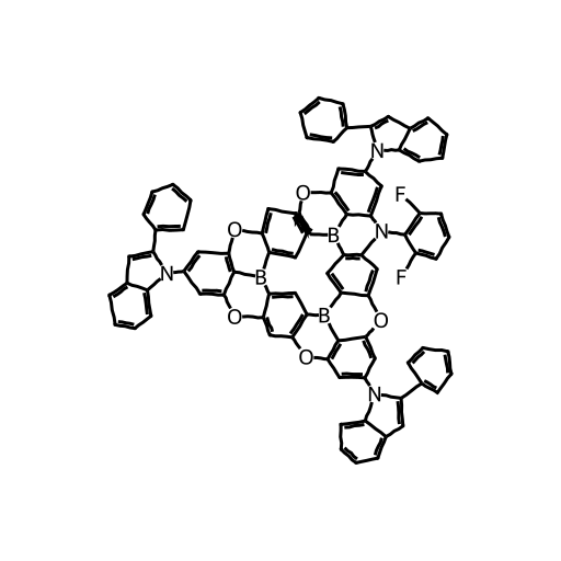 Fc1cccc(F)c1N1c2cc3c(cc2B2c4ccccc4Oc4cc(-n5c(-c6ccccc6)cc6ccccc65)cc1c42)B1c2cc4c(cc2Oc2cc(-n5c(-c6ccccc6)cc6ccccc65)cc(c21)O3)Oc1cc(-n2c(-c3ccccc3)cc3ccccc32)cc2c1B4c1ccccc1O2